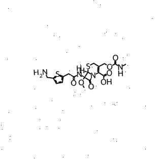 CNC(=O)OCC1=C(C(=O)O)N2C(=O)[C@](NC(=O)Cc3ccc(CN)s3)(OC)[C@@H]2SC1